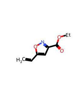 C=Cc1cc(C(=O)OCC)no1